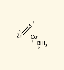 [BiH3].[Co].[S]=[Zn]